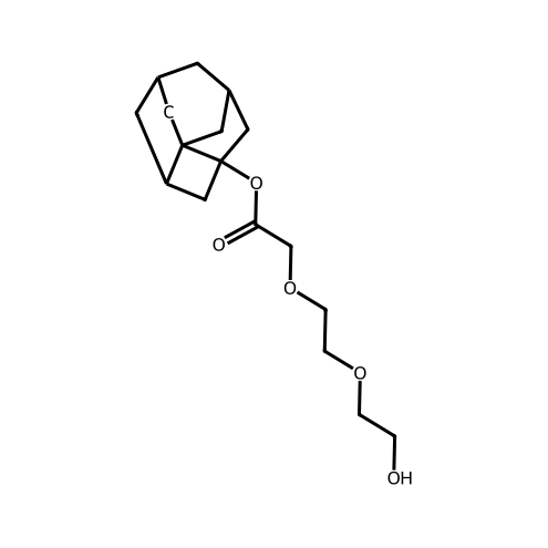 O=C(COCCOCCO)OC12CC3CC4CC(C1)C2(C4)C3